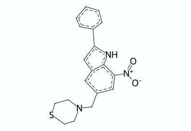 O=[N+]([O-])c1cc(CN2CCSCC2)cc2cc(-c3ccccc3)[nH]c12